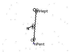 CCCCC/C=C\CC(=O)OCCCCCCCCCCC(CCCCCCCCCCOC1(OCCCCCCC)CCCCC1)OC(=O)CCCN(C)C